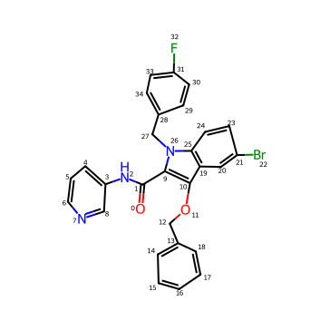 O=C(Nc1cccnc1)c1c(OCc2ccccc2)c2cc(Br)ccc2n1Cc1ccc(F)cc1